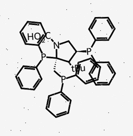 CC(C)(C)C1[C@H](P(c2ccccc2)c2ccccc2)CN(C(=O)O)[C@]1(CP(c1ccccc1)c1ccccc1)P(c1ccccc1)c1ccccc1